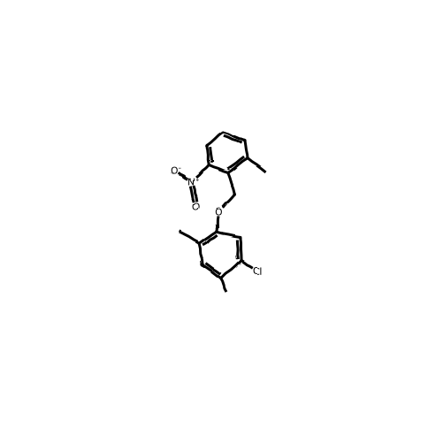 Cc1cc(C)c(OCc2c(C)cccc2[N+](=O)[O-])cc1Cl